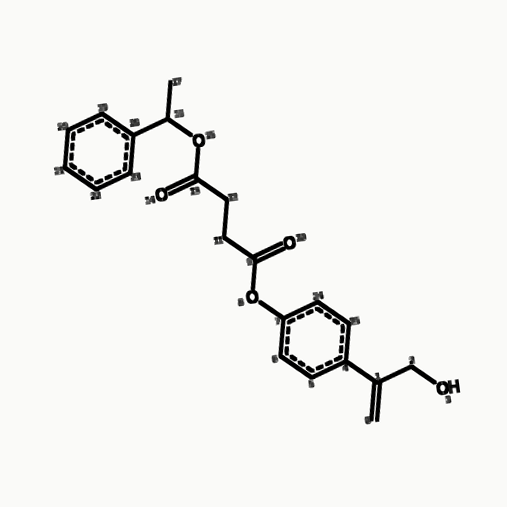 C=C(CO)c1ccc(OC(=O)CCC(=O)OC(C)c2ccccc2)cc1